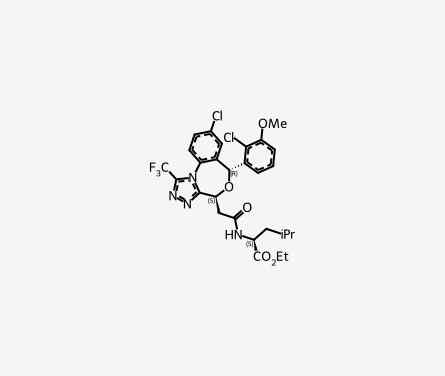 CCOC(=O)[C@H](CC(C)C)NC(=O)C[C@@H]1O[C@@H](c2cccc(OC)c2Cl)c2cc(Cl)ccc2-n2c1nnc2C(F)(F)F